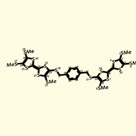 CSC1=C(SC)SC(=C2SC(SC)=C(SCc3ccc(CSC4=C(SC)SC(=C5SC(SC)=C(SC)S5)S4)cc3)S2)S1